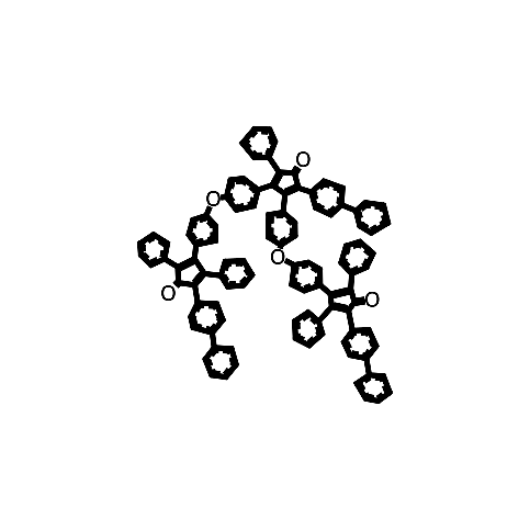 O=C1C(c2ccc(-c3ccccc3)cc2)=C(c2ccccc2)C(c2ccc(Oc3ccc(C4=C(c5ccccc5)C(=O)C(c5ccc(-c6ccccc6)cc5)=C4c4ccc(Oc5ccc(C6=C(c7ccccc7)C(=O)C(c7ccc(-c8ccccc8)cc7)=C6c6ccccc6)cc5)cc4)cc3)cc2)=C1c1ccccc1